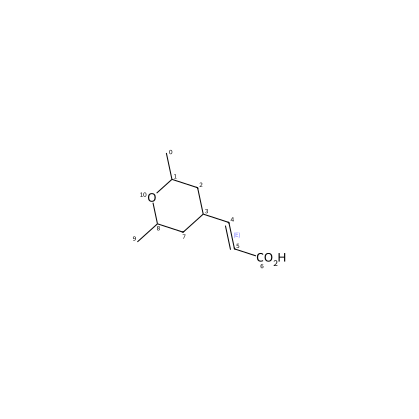 CC1CC(/C=C/C(=O)O)CC(C)O1